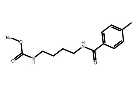 Cc1ccc(C(=O)NCCCCNC(=O)OC(C)(C)C)cc1